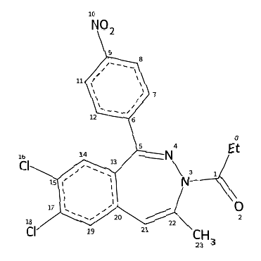 CCC(=O)N1N=C(c2ccc([N+](=O)[O-])cc2)c2cc(Cl)c(Cl)cc2C=C1C